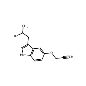 C#CCOc1ccc2[nH]nc(CC(C)O)c2c1